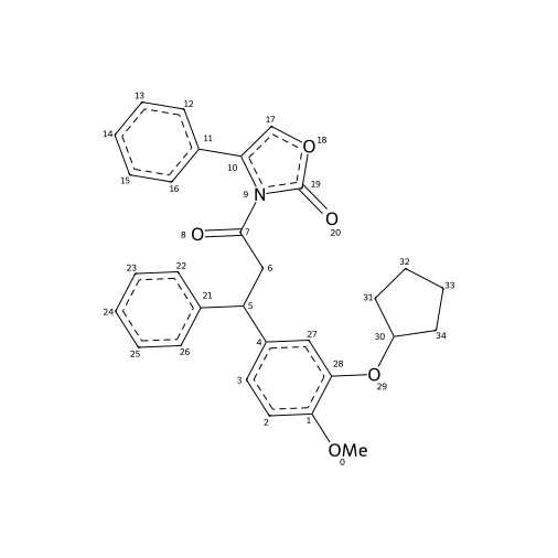 COc1ccc(C(CC(=O)n2c(-c3ccccc3)coc2=O)c2ccccc2)cc1OC1CCCC1